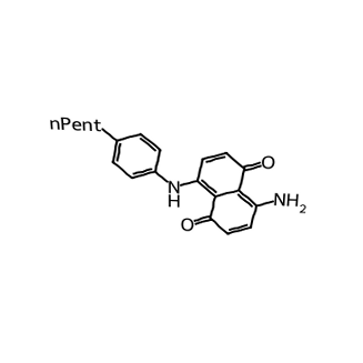 CCCCCc1ccc(NC2=C3C(=O)C=CC(N)=C3C(=O)C=C2)cc1